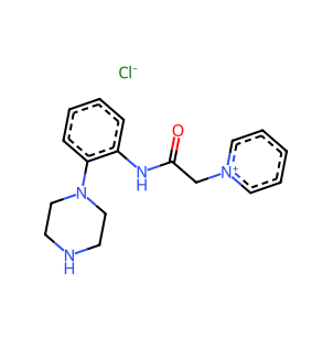 O=C(C[n+]1ccccc1)Nc1ccccc1N1CCNCC1.[Cl-]